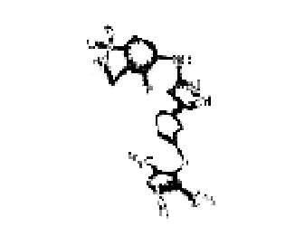 Cc1n[nH]c(C)c1OC1CCC(c2cc(Nc3ccc4c(c3F)CNS4(=O)=O)n[nH]2)C1